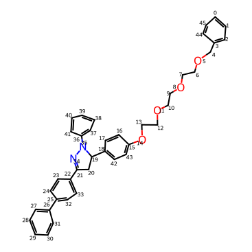 c1ccc(COCCOCCOCCOc2ccc(C3CC(c4ccc(-c5ccccc5)cc4)=NN3c3ccccc3)cc2)cc1